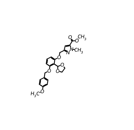 COC(=O)c1cc(COc2cccc(OCc3ccc(OC)cc3)c2C2OCCO2)nn1C